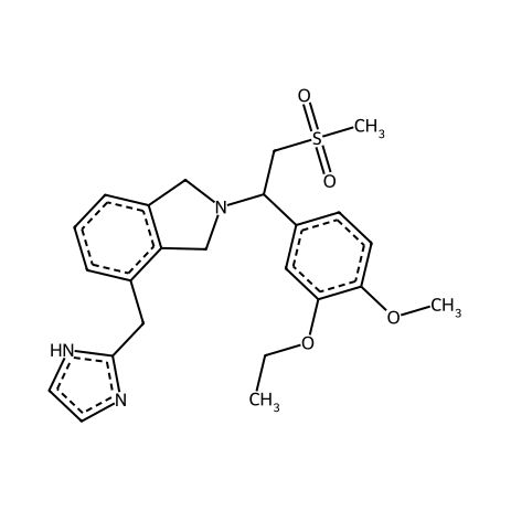 CCOc1cc(C(CS(C)(=O)=O)N2Cc3cccc(Cc4ncc[nH]4)c3C2)ccc1OC